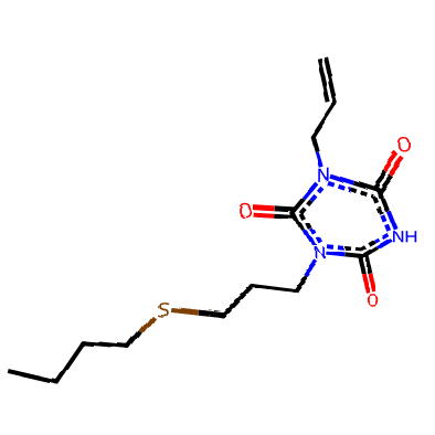 C=CCn1c(=O)[nH]c(=O)n(CCCSCCCC)c1=O